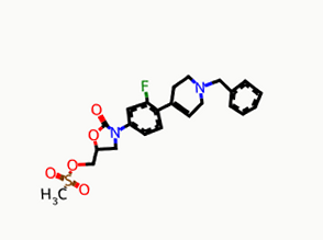 CS(=O)(=O)OCC1CN(c2ccc(C3=CCN(Cc4ccccc4)CC3)c(F)c2)C(=O)O1